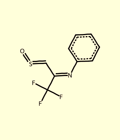 O=S=CC(=Nc1ccccc1)C(F)(F)F